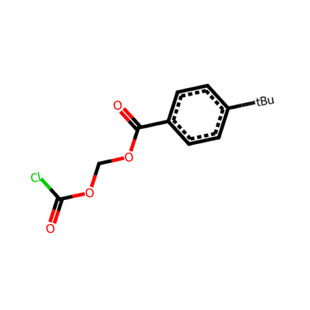 CC(C)(C)c1ccc(C(=O)OCOC(=O)Cl)cc1